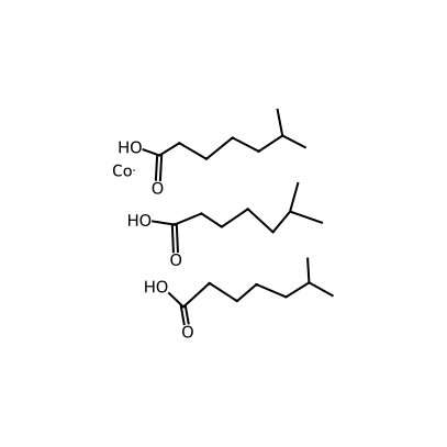 CC(C)CCCCC(=O)O.CC(C)CCCCC(=O)O.CC(C)CCCCC(=O)O.[Co]